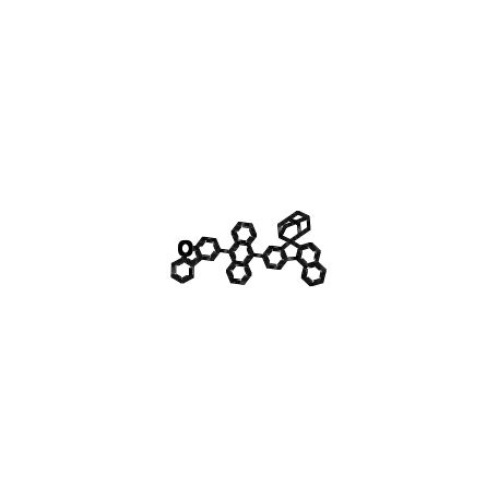 c1ccc2c3c(ccc2c1)C1(c2cc(-c4c5ccccc5c(-c5ccc6oc7ccccc7c6c5)c5ccccc45)ccc2-3)C2CC3CC(C2)CC1C3